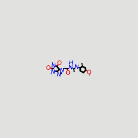 COc1ccc(/N=C(\C)NC(=O)Cn2cnc3c2c(=O)n(C)c(=O)n3C)c(C)c1